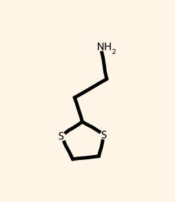 NCCC1SCCS1